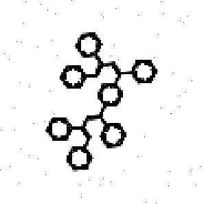 C(=C(C=C(c1ccccc1)c1ccc(C(=CC(=Cc2ccccc2)c2ccccc2)c2ccccc2)cc1)c1ccccc1)c1ccccc1